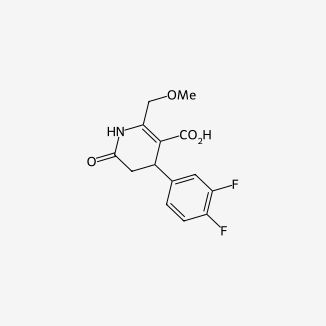 COCC1=C(C(=O)O)C(c2ccc(F)c(F)c2)CC(=O)N1